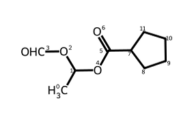 CC(OC=O)OC(=O)C1CCCC1